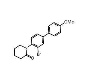 COc1ccc(-c2[c]cc(N3CCCCC3=O)c(Br)c2)cc1